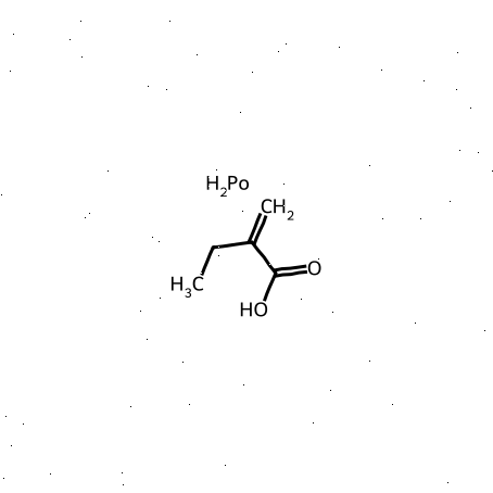 C=C(CC)C(=O)O.[PoH2]